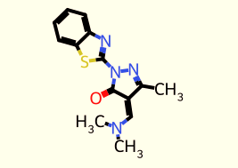 CC1=NN(c2nc3ccccc3s2)C(=O)C1=CN(C)C